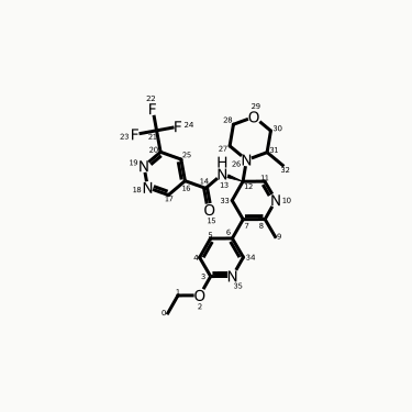 CCOc1ccc(C2=C(C)N=C[C@@](NC(=O)c3cnnc(C(F)(F)F)c3)(N3CCOCC3C)C2)cn1